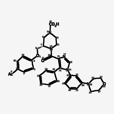 CC(=O)c1ccc(OC[C@@H]2CN(C(=O)O)CCN2C(=O)c2ncn(-c3cccc(N4CCOCC4)c3)c2-c2ccccc2)cc1